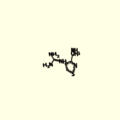 N.N=C(N)N.Oc1ccsn1